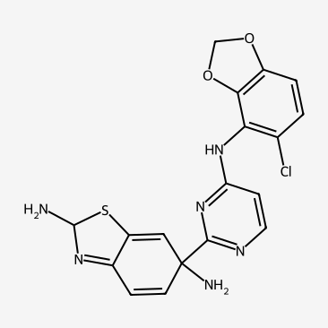 NC1N=C2C=CC(N)(c3nccc(Nc4c(Cl)ccc5c4OCO5)n3)C=C2S1